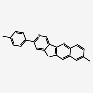 Cc1ccc(-c2cc3sc4cc5cc(C)ccc5nc4c3cn2)cc1